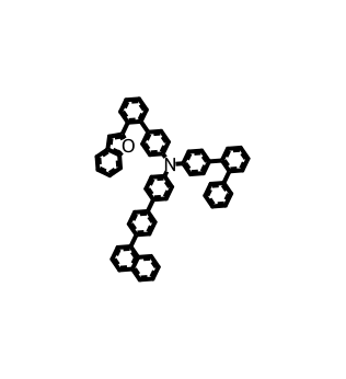 c1ccc(-c2ccccc2-c2ccc(N(c3ccc(-c4ccc(-c5cccc6ccccc56)cc4)cc3)c3ccc(-c4ccccc4-c4cc5ccccc5o4)cc3)cc2)cc1